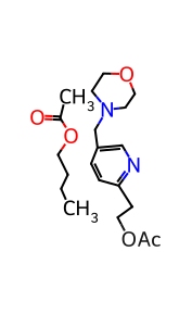 CC(=O)OCCc1ccc(CN2CCOCC2)cn1.CCCCOC(C)=O